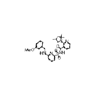 COc1cccc(CNc2cccc(S(=O)(=O)NC(=O)c3cccnc3N3CC(C)CC3(C)C)n2)c1